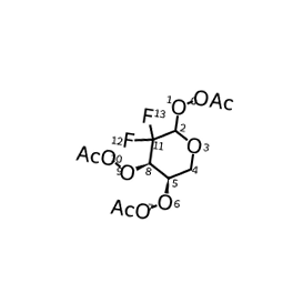 CC(=O)OOC1OC[C@@H](OOC(C)=O)[C@@H](OOC(C)=O)C1(F)F